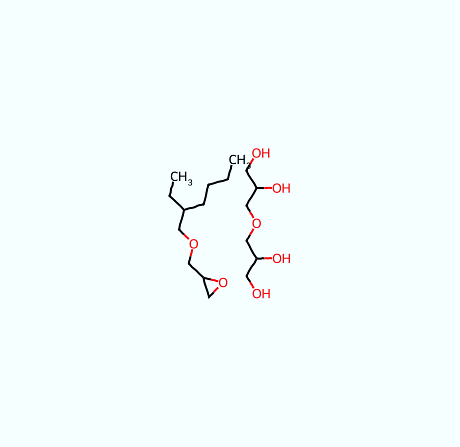 CCCCC(CC)COCC1CO1.OCC(O)COCC(O)CO